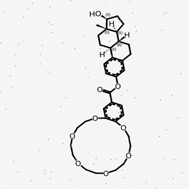 C[C@]12CC[C@@H]3c4ccc(OC(=O)c5ccc6c(c5)OCCOCCOCCOCCOCCO6)cc4CC[C@H]3[C@@H]1CC[C@@H]2O